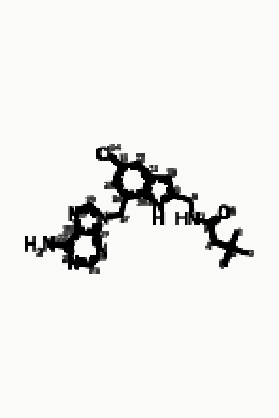 CC(C)(C)CC(=O)NCc1cc2cc(Cl)cc(Cn3cnc4c(N)ncnc43)c2[nH]1